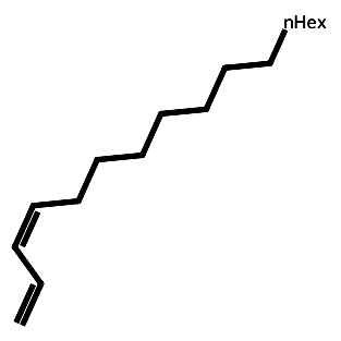 C=C/C=C\CCCCCCCCCCCCC